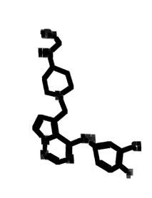 CC(C)(C)CNC1CCN(Cc2ccn3ncnc(Nc4ccc(F)c(Cl)c4)c23)CC1